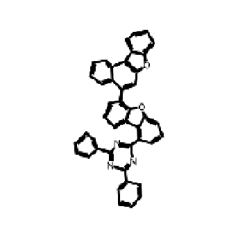 c1ccc(-c2nc(-c3ccccc3)nc(-c3cccc4oc5c(-c6cc7oc8ccccc8c7c7ccccc67)cccc5c34)n2)cc1